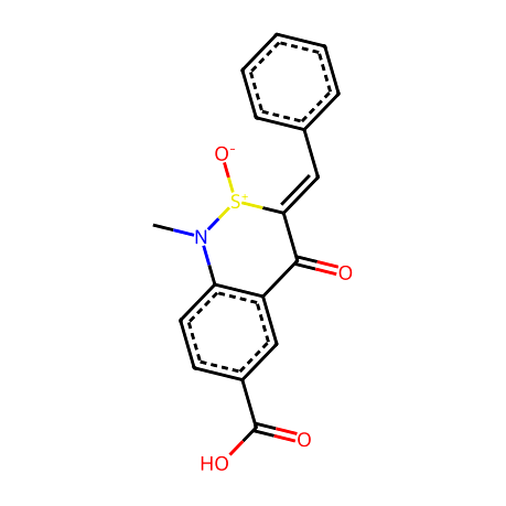 CN1c2ccc(C(=O)O)cc2C(=O)/C(=C/c2ccccc2)[S+]1[O-]